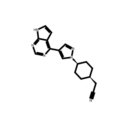 N#CC[C@H]1CC[C@@H](n2cc(-c3ncnc4[nH]ccc34)cn2)CC1